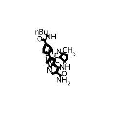 CCCCNC(=O)c1ccc(-c2cc3c(N[C@@H]4CC[C@](C)(N)C4(C)C)c(C(N)=O)cnn3c2)cc1